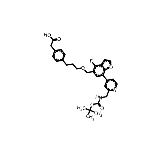 CC(C)(C)OC(=O)NCc1cc(-c2cc(COCCCc3ccc(CC(=O)O)cc3)c(F)c3ccoc23)ccn1